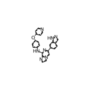 c1cc(Oc2ccc(Nc3nc(-c4ccc5cn[nH]c5c4)cn4ccnc34)cc2)ccn1